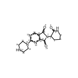 O=C1NCCCC1N1C(=O)c2cnc(N3CCNCC3)nc2C1=O